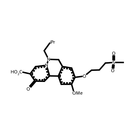 COc1cc2c(cc1OCCCS(C)(=O)=O)CN(CC(C)C)n1cc(C(=O)O)c(=O)cc1-2